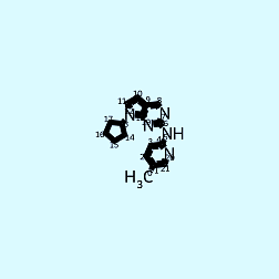 Cc1ccc(Nc2ncc3ccn(C4CCCC4)c3n2)nc1